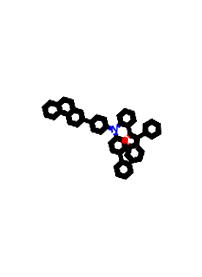 c1ccc(-c2ccc(N(c3ccc(-c4ccc5c(ccc6ccccc65)c4)cc3)c3ccccc3-c3oc4ccccc4c3-c3ccccc3)cc2)cc1